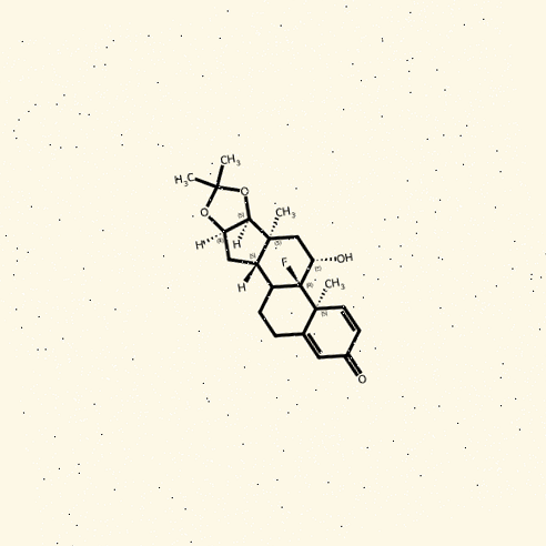 CC1(C)O[C@@H]2[C@@H](C[C@H]3C4CCC5=CC(=O)C=C[C@]5(C)[C@@]4(F)[C@@H](O)C[C@]23C)O1